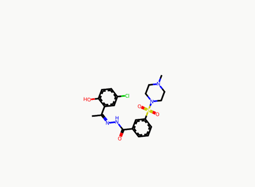 CC(=NNC(=O)c1cccc(S(=O)(=O)N2CCN(C)CC2)c1)c1cc(Cl)ccc1O